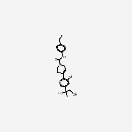 CC(O)(CO)c1cnc(C2=CCN(C(=O)Nc3ccc(CF)cc3)CC2)c(Cl)c1